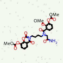 COOc1c(OC(=O)OC)cccc1C(=O)N(CCCCn1c(=O)oc2c(OC(=O)OC)cccc2c1=O)CC(N)=O